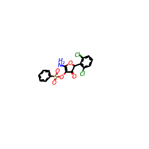 NC1=C(OS(=O)(=O)c2ccccc2)C(=O)C(c2c(Cl)cccc2Cl)O1